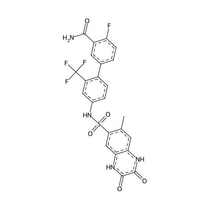 Cc1cc2[nH]c(=O)c(=O)[nH]c2cc1S(=O)(=O)Nc1ccc(-c2ccc(F)c(C(N)=O)c2)c(C(F)(F)F)c1